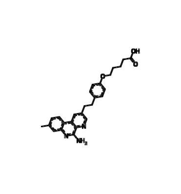 Cc1ccc2c(c1)nc(N)c1ncc(CCc3ccc(OCCCCC(=O)O)cc3)cc12